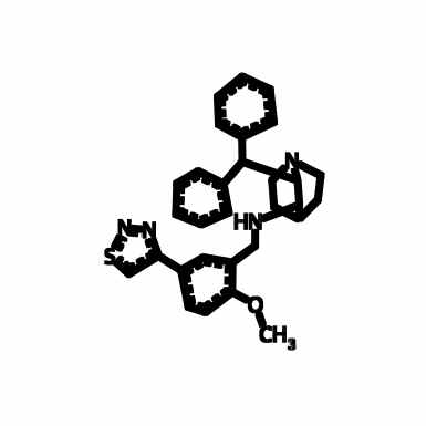 COc1ccc(-c2csnn2)cc1CNC1C2CCN(CC2)C1C(c1ccccc1)c1ccccc1